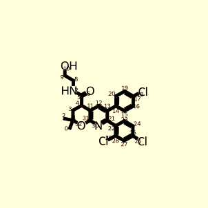 CC1(C)CC(C(=O)NCCO)c2cc(-c3ccc(Cl)cc3)c(-c3ccc(Cl)cc3Cl)nc2O1